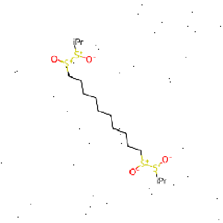 CC(C)[S+]([O-])[S+]([O-])CCCCCCCCCC[S+]([O-])[S+]([O-])C(C)C